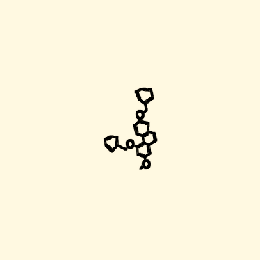 COc1cc(OCc2ccccc2)c2c(ccc3cc(OCc4ccccc4)ccc32)c1